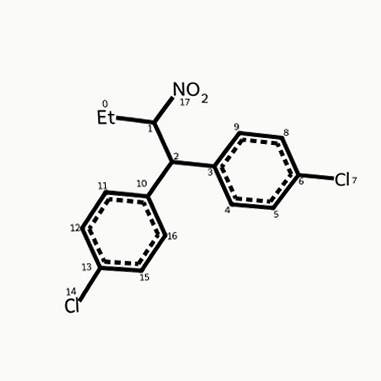 CCC(C(c1ccc(Cl)cc1)c1ccc(Cl)cc1)[N+](=O)[O-]